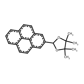 CC1(C)OC(c2cc3ccc4cccc5ccc(c2)c3c45)OC1(C)C